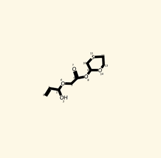 C=CC(O)OCC(=O)OC1CSCCO1